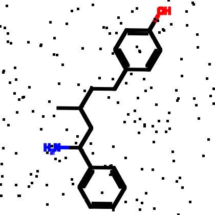 CC(CCc1ccc(O)cc1)CC(N)c1ccccc1